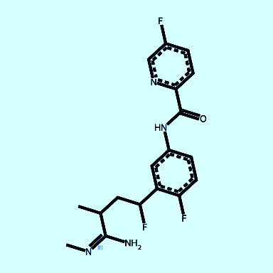 C/N=C(/N)C(C)CC(F)c1cc(NC(=O)c2ccc(F)cn2)ccc1F